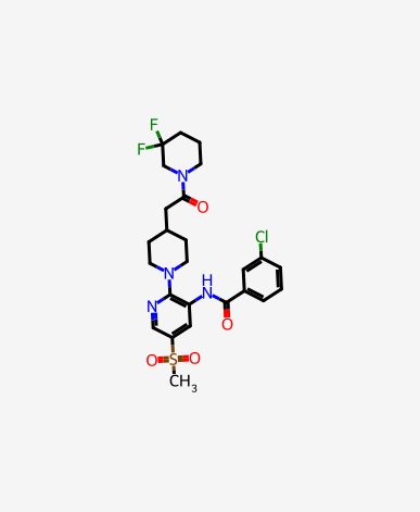 CS(=O)(=O)c1cnc(N2CCC(CC(=O)N3CCCC(F)(F)C3)CC2)c(NC(=O)c2cccc(Cl)c2)c1